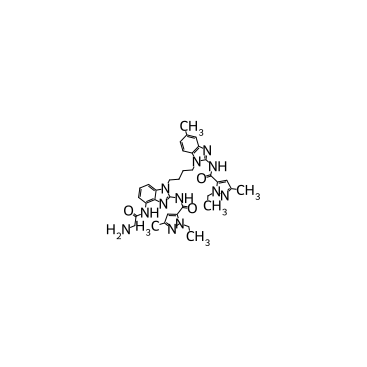 CCn1nc(C)cc1C(=O)Nc1nc2cc(C)ccc2n1CCCCn1c(NC(=O)c2cc(C)nn2CC)nc2c(NC(=O)CN)cccc21